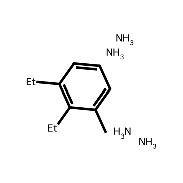 CCc1cccc(C)c1CC.N.N.N.N